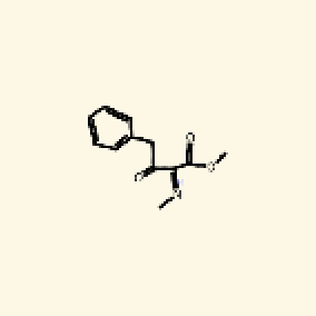 C/N=C(\C(=O)Cc1ccccc1)C(=O)OC